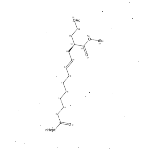 CCCCCCCC(=O)CCCCCC/C=C/C[C@@H](CCOC(C)=O)C(=O)OC(C)(C)C